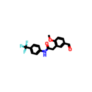 COc1ccc(C=O)cc1CC(=O)Nc1ccc(C(F)(F)F)cc1